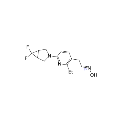 CCc1nc(N2CC3C(C2)C3(F)F)ccc1C/C=N/O